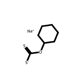 S=C([S-])OC1CCCCC1.[Na+]